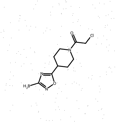 Bc1noc(C2CCN(C(=O)CCl)CC2)n1